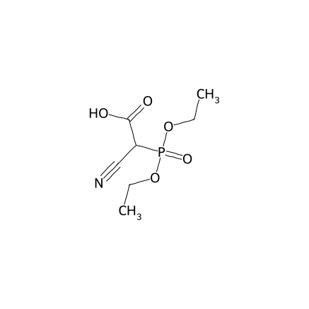 CCOP(=O)(OCC)C(C#N)C(=O)O